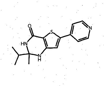 CC(C)C1(C)NC(=O)c2sc(-c3ccncc3)cc2N1